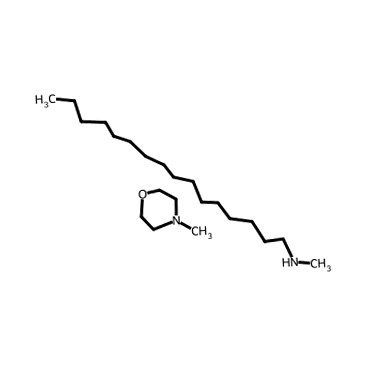 CCCCCCCCCCCCCCCCNC.CN1CCOCC1